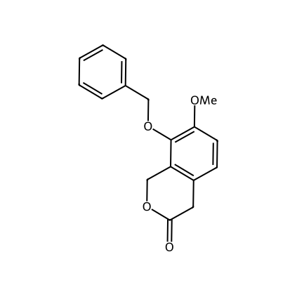 COc1ccc2c(c1OCc1ccccc1)COC(=O)C2